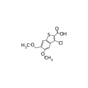 COCc1cc2sc(C(=O)O)c(Cl)c2cc1OC